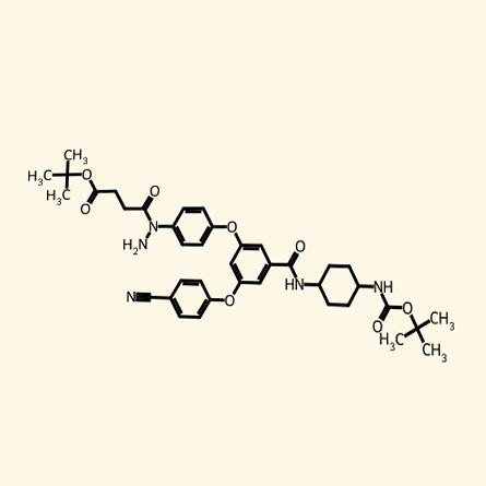 CC(C)(C)OC(=O)CCC(=O)N(N)c1ccc(Oc2cc(Oc3ccc(C#N)cc3)cc(C(=O)NC3CCC(NC(=O)OC(C)(C)C)CC3)c2)cc1